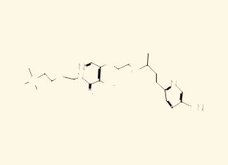 CC(CCc1ccc(C#N)cn1)OCCOc1cnn(COCC[Si](C)(C)C)c(=O)c1C(F)(F)F